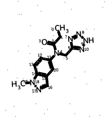 CCC(=O)N(Cc1nn[nH]n1)c1ccc2c(cnn2C)c1